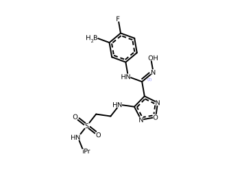 Bc1cc(N/C(=N\O)c2nonc2NCCS(=O)(=O)NC(C)C)ccc1F